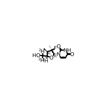 [2H]C([2H])(O)[C@@]1([2H])O[C@@H](n2ccc(=O)[nH]c2=O)[C@](C)(F)[C@@H]1C